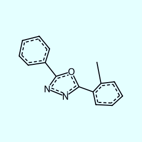 Cc1ccccc1-c1nnc(-c2ccccc2)o1